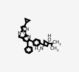 CC(C)[C@]1(O)C[C@@](N)(c2ccc(-c3nc4c(cnc5cc(C6CC6)nn54)cc3-c3ccccc3)cc2)C1